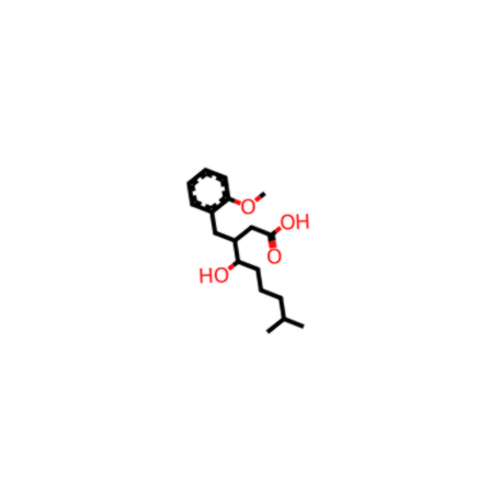 COc1ccccc1CC(CC(=O)O)C(O)CCCC(C)C